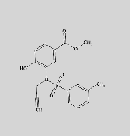 C#CCN(c1cc(C(=O)OC)ccc1O)S(=O)(=O)c1cccc(C)c1